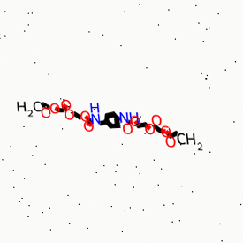 C=CC(=O)OCC(=O)OCCOC(=O)NCc1ccc(NC(=O)OCCOC(=O)COC(=O)C=C)cc1